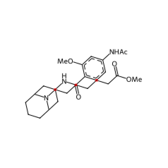 COC(=O)CCCCCCN1C2CCCC1CC(NC(=O)c1ccc(NC(C)=O)cc1OC)C2